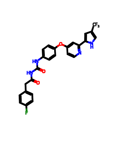 O=C(Cc1ccc(F)cc1)NC(=O)Nc1ccc(Oc2ccnc(-c3cc(C(F)(F)F)c[nH]3)c2)cc1